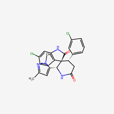 Cc1cc([C@H]2NC(=O)C[C@@H](c3cccc(Cl)c3)[C@]23C(=O)Nc2cc(Cl)ccc23)n(C)n1